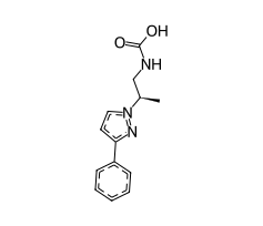 C[C@H](CNC(=O)O)n1ccc(-c2ccccc2)n1